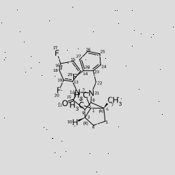 CC1(C)[C@@H]2CC[C@@]1(C)C1C2C(=O)N(c2ccc(F)cc2F)N1Cc1ccccc1F